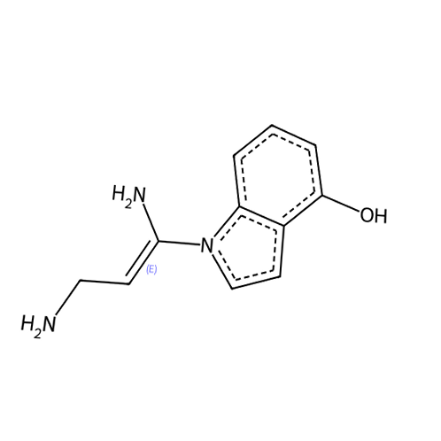 NC/C=C(\N)n1ccc2c(O)cccc21